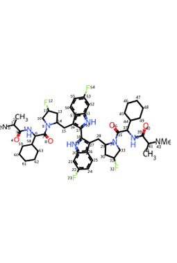 CNC(C)C(=O)NC(C(=O)N1CC(F)CC1Cc1c(-c2[nH]c3cc(F)ccc3c2CC2CC(F)CN2C(=O)C(NC(=O)C(C)NC)C2CCCCC2)[nH]c2cc(F)ccc12)C1CCCCC1